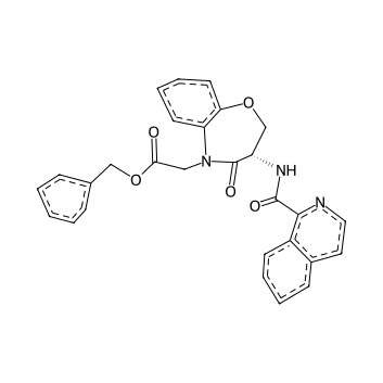 O=C(CN1C(=O)[C@@H](NC(=O)c2nccc3ccccc23)COc2ccccc21)OCc1ccccc1